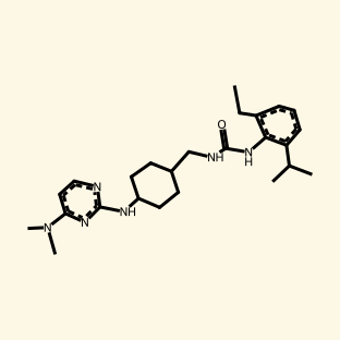 CCc1cccc(C(C)C)c1NC(=O)NCC1CCC(Nc2nccc(N(C)C)n2)CC1